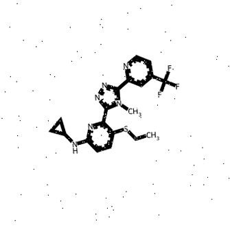 CCSc1ccc(NC2CC2)nc1-c1nnc(-c2cc(C(F)(F)F)ccn2)n1C